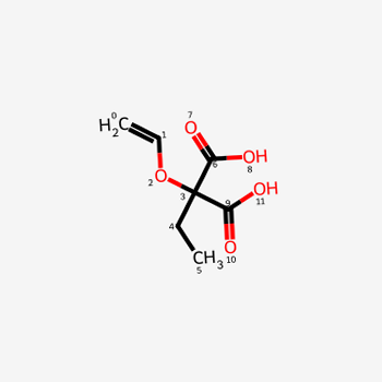 C=COC(CC)(C(=O)O)C(=O)O